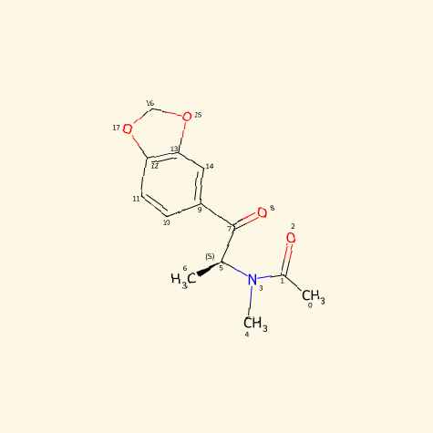 CC(=O)N(C)[C@@H](C)C(=O)c1ccc2c(c1)OCO2